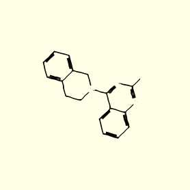 Clc1nc(N2CCc3ccccc3C2)c2ccccc2n1